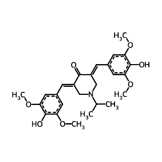 COc1cc(C=C2CN(C(C)C)CC(=Cc3cc(OC)c(O)c(OC)c3)C2=O)cc(OC)c1O